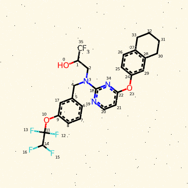 OC(CN(Cc1cccc(OC(F)(F)C(F)F)c1)c1nccc(Oc2ccc3c(c2)CCCC3)n1)C(F)(F)F